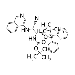 CC(C)(C)OC(=O)NC(CO[Si](c1ccccc1)(c1ccccc1)C(C)(C)C)C(C#N)Nc1cncc2ccccc12